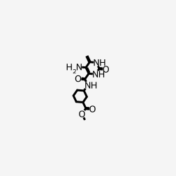 C=C1NC(=O)NC(C(=O)NC2CCCC(C(=O)OC)C2)=C1N